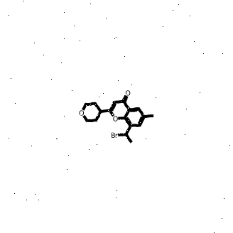 Cc1cc(C(C)Br)c2oc(C3CCOCC3)cc(=O)c2c1